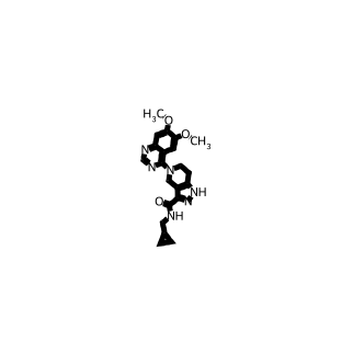 COc1cc2ncnc(N3CCc4[nH]nc(C(=O)NCC5CC5)c4C3)c2cc1OC